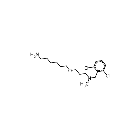 CN(CCCOCCCCCCN)Cc1c(Cl)cccc1Cl